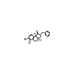 O=C1[C@H]2c3ccc(Br)c(Cl)c3CO[C@H]2CN1Cc1ccccc1